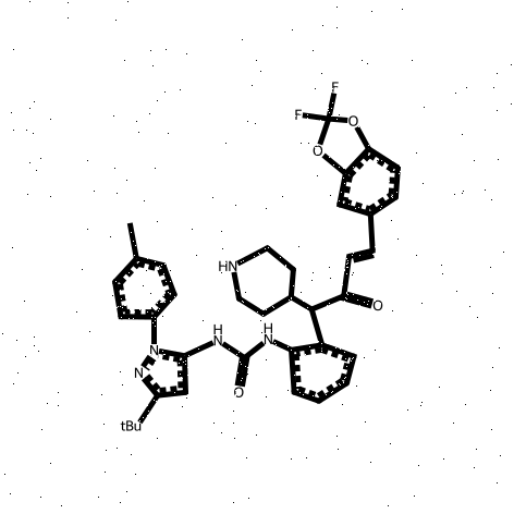 Cc1ccc(-n2nc(C(C)(C)C)cc2NC(=O)Nc2ccccc2C(C(=O)C=Cc2ccc3c(c2)OC(F)(F)O3)C2CCNCC2)cc1